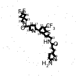 Nc1ccc(C=CC(=O)NCc2cc3cc(-c4ccc(C(=O)N5CC6(C5)CC(F)(F)C6)cn4)cc(C(F)(F)F)c3s2)cn1